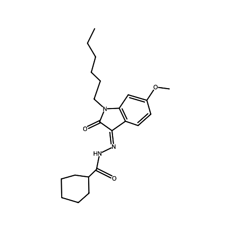 CCCCCCN1C(=O)C(=NNC(=O)C2CCCCC2)c2ccc(OC)cc21